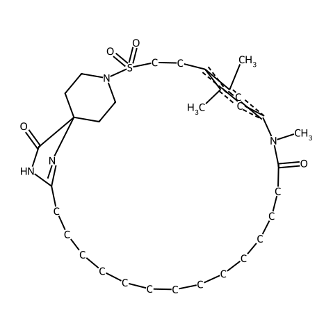 Cc1cc2cc(C)c1CCS(=O)(=O)N1CCC3(CC1)N=C(CCCCCCCCCCCCCC(=O)N2C)NC3=O